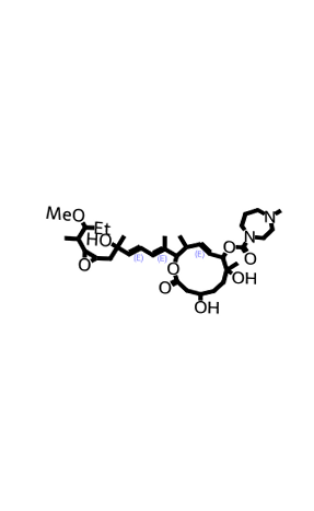 CCC(OC)C(C)C1OC1CC(C)(O)/C=C/C=C(\C)C1OC(=O)CC(O)CCC(C)(O)C(OC(=O)N2CCCN(C)CC2)/C=C/C1C